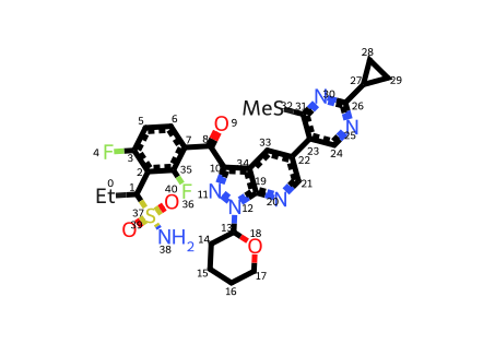 CCC(c1c(F)ccc(C(=O)c2nn(C3CCCCO3)c3ncc(-c4cnc(C5CC5)nc4SC)cc23)c1F)S(N)(=O)=O